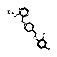 CC(C)(C)Oc1nccnc1CN1CCC(COc2ccc(F)cc2F)CC1